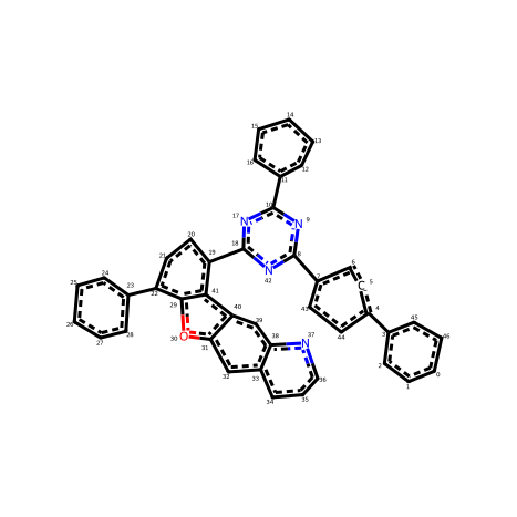 c1ccc(-c2ccc(-c3nc(-c4ccccc4)nc(-c4ccc(-c5ccccc5)c5oc6cc7cccnc7cc6c45)n3)cc2)cc1